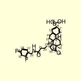 C[C@]12CC[C@@H]3c4ccc(B(O)O)cc4CC[C@H]3[C@@H]1[C@@H](CCCC(=O)NCc1ccc(F)cc1F)CC2=O